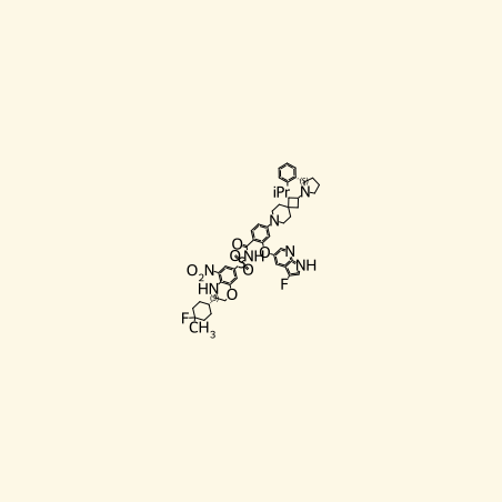 CC(C)c1ccccc1[C@@H]1CCCN1C1CC2(CCN(c3ccc(C(=O)NS(=O)(=O)c4cc5c(c([N+](=O)[O-])c4)N[C@@H](C4CCC(C)(F)CC4)CO5)c(Oc4cnc5[nH]cc(F)c5c4)c3)CC2)C1